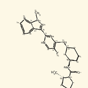 C[C@H]1CCCN1C(=O)N[C@@H]1CCC[C@H](Nc2nc(-c3nn(C)c4ncccc34)ncc2F)C1